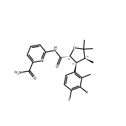 Cc1c([C@H]2[C@H](C(=O)Nc3cccc(C(N)=O)n3)OC(C)(C)[C@H]2C)ccc(F)c1F